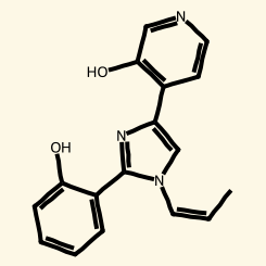 C/C=C\n1cc(-c2ccncc2O)nc1-c1ccccc1O